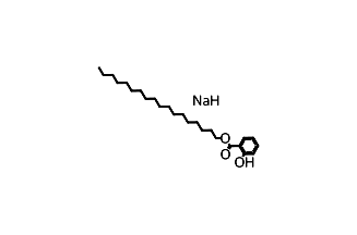 CCCCCCCCCCCCCCCCCCOC(=O)c1ccccc1O.[NaH]